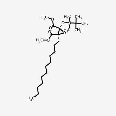 CCCCCCCCCCCC[C@@]1(C(=O)OC)O[C@]1(O[Si](C)(C)C(C)(C)C)C(=O)OC